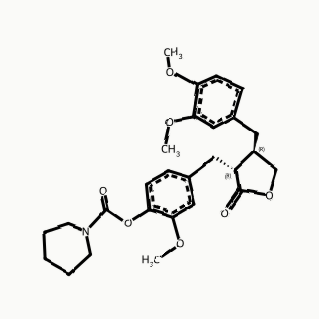 COc1ccc(C[C@H]2COC(=O)[C@@H]2Cc2ccc(OC(=O)N3CCCCC3)c(OC)c2)cc1OC